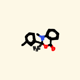 Cc1cccc([C@@]2(C(F)(F)F)OC(=O)c3ccccc3N2C)c1